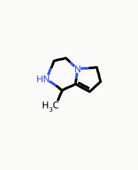 CC1NCCN2CCC=C12